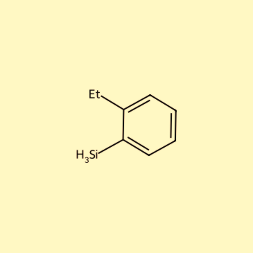 CCc1ccccc1[SiH3]